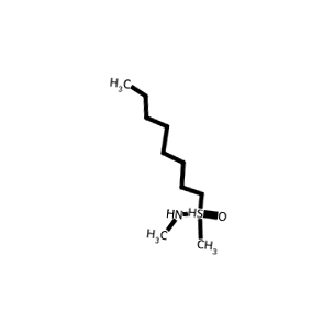 CCCCCCCC[SH](C)(=O)NC